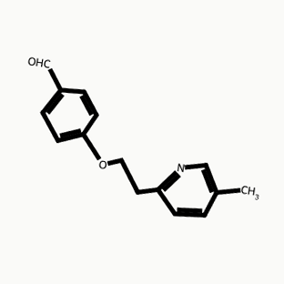 Cc1ccc(CCOc2ccc(C=O)cc2)nc1